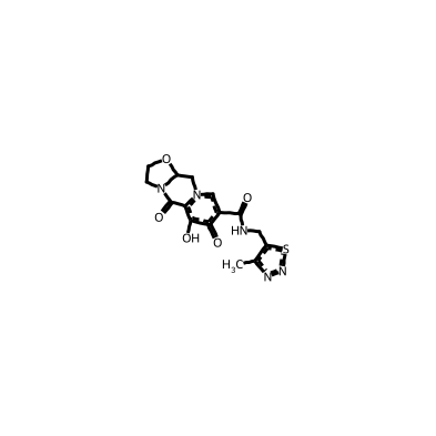 Cc1nnsc1CNC(=O)c1cn2c(c(O)c1=O)C(=O)N1CCOC1C2